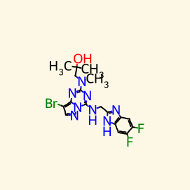 CN(CC(C)(C)O)c1nc(NCc2nc3cc(F)c(F)cc3[nH]2)n2ncc(Br)c2n1